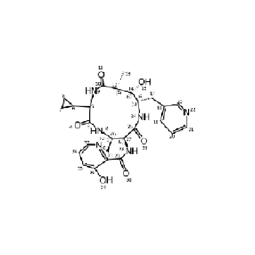 C[C@H]1NC(=O)C(C2CC2)NC(=O)[C@H](C)[C@H](O)[C@H](Cc2cccnc2)NC(=O)[C@H]1NC(=O)c1ncccc1O